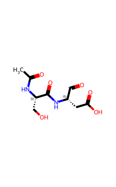 CC(=O)N[C@@H](CO)C(=O)N[C@H]([C]=O)CC(=O)O